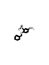 Nc1ccc(OCc2ccccc2)c([N+](=O)[O-])c1